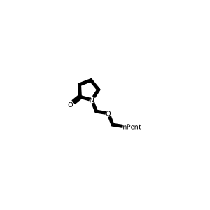 CCCCCCOCN1CCCC1=O